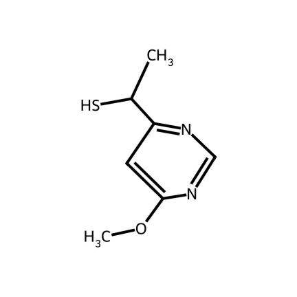 COc1cc(C(C)S)ncn1